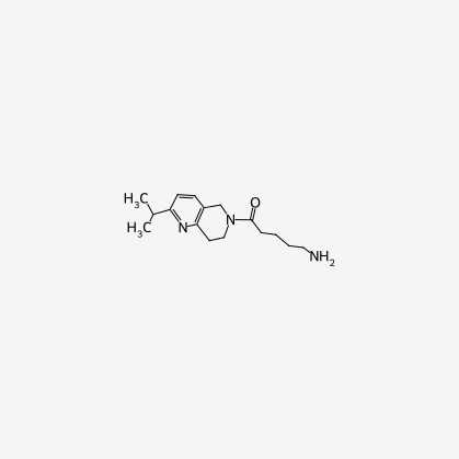 CC(C)c1ccc2c(n1)CCN(C(=O)CCCCN)C2